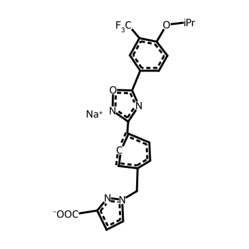 CC(C)Oc1ccc(-c2nc(-c3ccc(Cn4ccc(C(=O)[O-])n4)cc3)no2)cc1C(F)(F)F.[Na+]